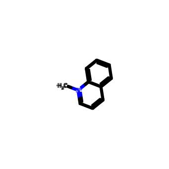 [CH2][n+]1cccc2ccccc21